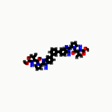 COC(=O)NC(C(=O)N1CCCC1c1nc2cc(-c3cccc(-c4ccc5[nH]c(C6CCCN6C(=O)[C@@H](NC(=O)OC)C(C)C)nc5c4)c3)ccc2[nH]1)C(C)C